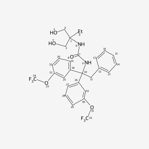 CCC(CO)(CO)NC(=O)NC(Cc1ccccc1)(c1cccc(OC(F)(F)F)c1)c1cccc(OC(F)(F)F)c1